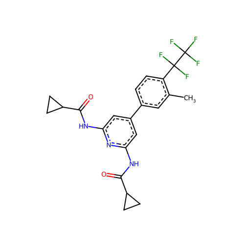 Cc1cc(-c2cc(NC(=O)C3CC3)nc(NC(=O)C3CC3)c2)ccc1C(F)(F)C(F)(F)F